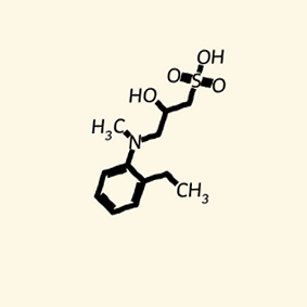 CCc1ccccc1N(C)CC(O)CS(=O)(=O)O